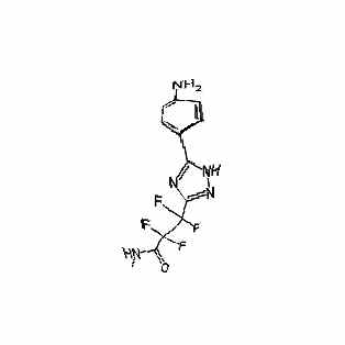 CNC(=O)C(F)(F)C(F)(F)c1n[nH]c(-c2ccc(N)cc2)n1